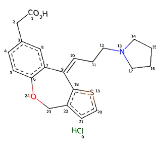 Cl.O=C(O)Cc1ccc2c(c1)C(=CCCN1CCCC1)c1sccc1CO2